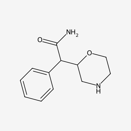 NC(=O)C(c1ccccc1)C1CNCCO1